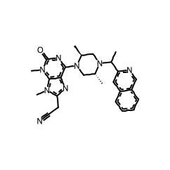 CC(c1cc2ccccc2cn1)N1C[C@H](C)N(c2nc(=O)n(C)c3c2nc(CC#N)n3C)C[C@H]1C